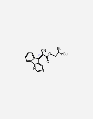 CCCCC(CC)COC(=O)/C(C#N)=C1/c2ccccc2-c2ncncc21